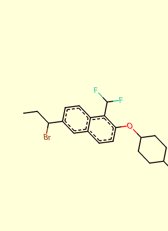 CCC(Br)c1ccc2c(C(F)F)c(OC3CCC(C)CC3)ccc2c1